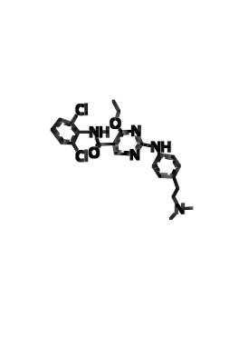 CCOc1nc(Nc2ccc(CCN(C)C)cc2)ncc1C(=O)Nc1c(Cl)cccc1Cl